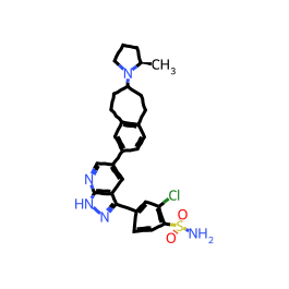 C[C@@H]1CCCN1C1CCc2ccc(-c3cnc4[nH]nc(-c5ccc(S(N)(=O)=O)c(Cl)c5)c4c3)cc2CC1